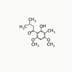 COc1cc(OC)c(C(=O)CC(C)C)c(O)c1C